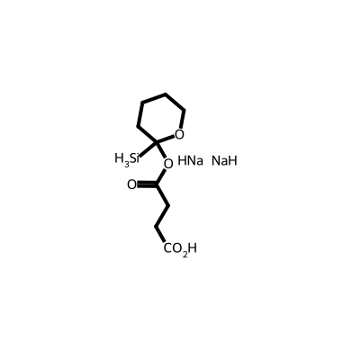 O=C(O)CCC(=O)OC1([SiH3])CCCCO1.[NaH].[NaH]